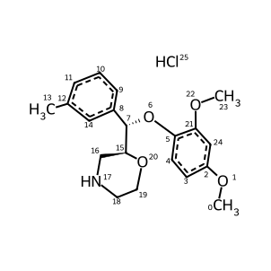 COc1ccc(O[C@@H](c2cccc(C)c2)[C@@H]2CNCCO2)c(OC)c1.Cl